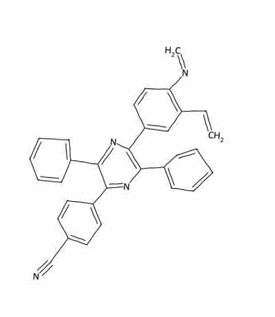 C=Cc1cc(-c2nc(-c3ccccc3)c(-c3ccc(C#N)cc3)nc2-c2ccccc2)ccc1N=C